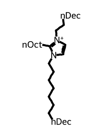 CCCCCCCCCCCCCCCCCn1cc[n+](CCCCCCCCCCCC)c1CCCCCCCC